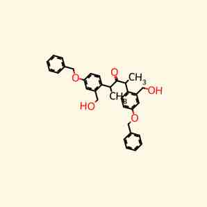 CC(C(=O)C(C)c1ccc(OCc2ccccc2)cc1CO)c1ccc(OCc2ccccc2)cc1CO